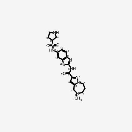 CN1CCCn2nc(C(=O)Nc3nc4ccc(NS(=O)(=O)C5CCNC5)cc4s3)cc2C1